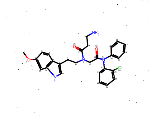 COc1ccc2c(CCN(CC(=O)N(c3ccccc3)c3ccccc3Cl)C(=O)CCN)c[nH]c2c1